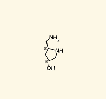 NC[C@@H]1C[C@@H](O)CN1